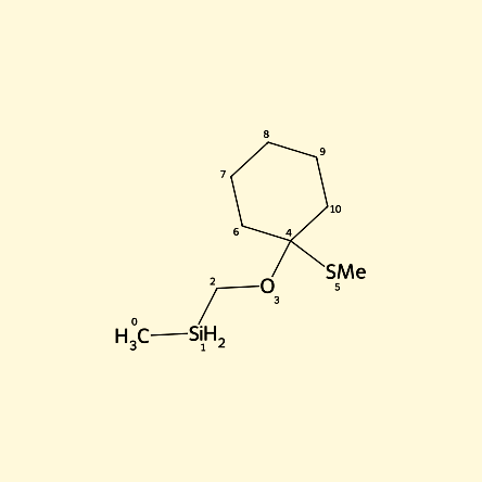 C[SiH2]COC1(SC)CCCCC1